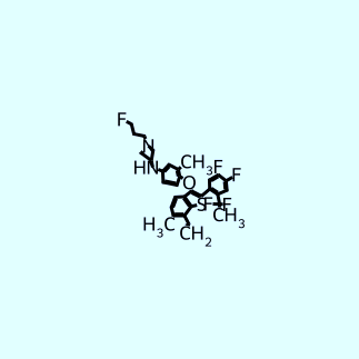 C=Cc1c(C)ccc2c(Oc3ccc(NC4CN(CCCF)C4)cc3C)c(-c3cc(F)c(F)cc3C(C)(F)F)sc12